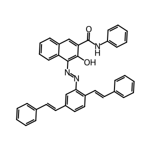 O=C(Nc1ccccc1)c1cc2ccccc2c(N=Nc2cc(C=Cc3ccccc3)ccc2C=Cc2ccccc2)c1O